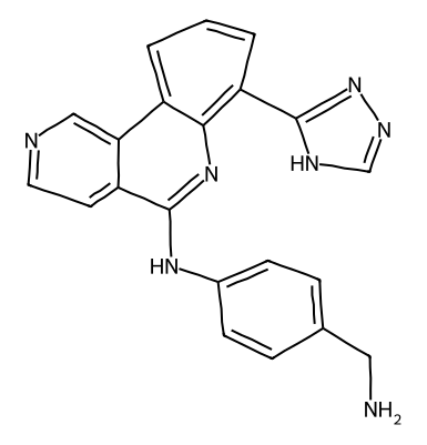 NCc1ccc(Nc2nc3c(-c4nnc[nH]4)cccc3c3cnccc23)cc1